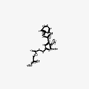 CCCCC(CC)COC(=O)CCc1cc(-c2nc3ccccc3s2)c(O)c(C(C)(C)C)c1